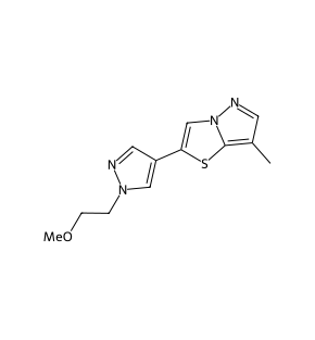 COCCn1cc(-c2cn3ncc(C)c3s2)cn1